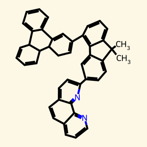 CC1(C)c2ccc(-c3ccc4ccc5cccnc5c4n3)cc2-c2c(C3=CCC4C(=C3)c3ccccc3C3C=CC=CC43)cccc21